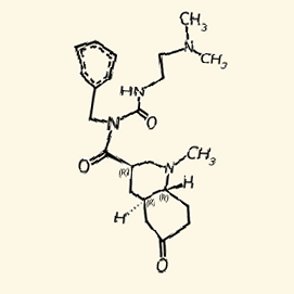 CN(C)CCNC(=O)N(Cc1ccccc1)C(=O)[C@@H]1C[C@@H]2CC(=O)CC[C@H]2N(C)C1